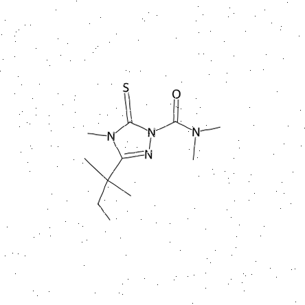 CCC(C)(C)c1nn(C(=O)N(C)C)c(=S)n1C